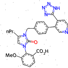 CCCc1cn(-c2c(OC)cccc2C(=O)O)c(=O)n1Cc1ccc(-c2cnccc2-c2nnn[nH]2)cc1